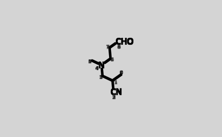 CC(C#N)CN(C)CCC=O